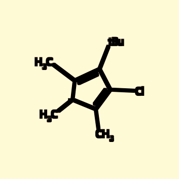 C[C]1C(C)=C(Cl)C(C(C)(C)C)=C1C